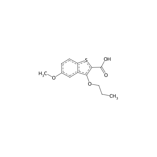 CCCOc1c(C(=O)O)sc2ccc(OC)cc12